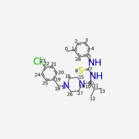 Cc1cccc(NC(=S)N[C@@H](C(C)C)N2CCN(Cc3ccc(Cl)cc3)CC2)c1